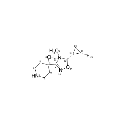 CN1C(C2(C)CCNCC2)=NOC1[C@@H]1C[C@@H]1F